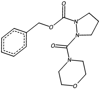 O=C(OCc1ccccc1)N1CCCN1C(=O)N1CCOCC1